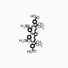 COc1ccc(N(C2=C(C=CC3=[N+](C)c4ccc(C(=O)O)cc4C3(C)C)CCC2=CC=C2N(C)c3ccc(C(=O)O)cc3C2(C)C)c2ccc(OC)cc2)cc1